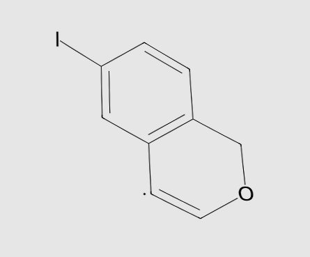 Ic1ccc2c(c1)[C]=COC2